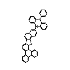 c1ccc(N2c3ccccc3N(c3ccc4c(ccc5c6ccc7c8ccccc8c8ccccc8c7c6sc45)c3)c3ccccc32)cc1